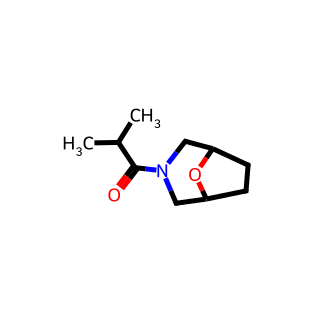 CC(C)C(=O)N1CC2CCC(C1)O2